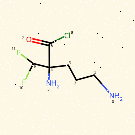 NCCCC(N)(C(=O)Cl)C(F)F